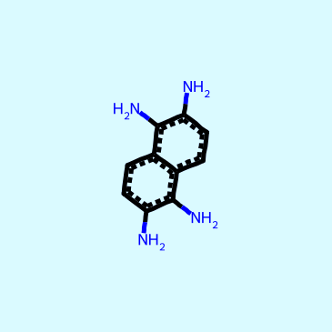 Nc1ccc2c(N)c(N)ccc2c1N